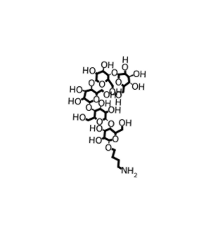 NCCCCO[C@H]1OC(CO)[C@@H](O[C@@H]2OC(CO)[C@@H](O[C@H]3OC(CO)[C@H](O[C@H]4OC(CO)[C@@H](O[C@@H]5OC(CO)[C@@H](O)[C@H](O)C5O)[C@H](O)C4O)[C@H](O)C3O)[C@H](O)C2O)[C@H](O)C1O